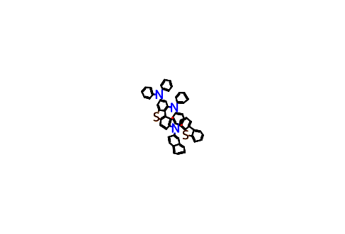 c1ccc(N(c2ccccc2)c2cc(N(c3ccccc3)c3ccccc3)c3c(c2)sc2ccc(N(c4ccc5ccccc5c4)c4cccc5c4sc4ccccc45)cc23)cc1